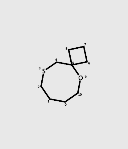 C1CCSCC2(CCC2)OC1